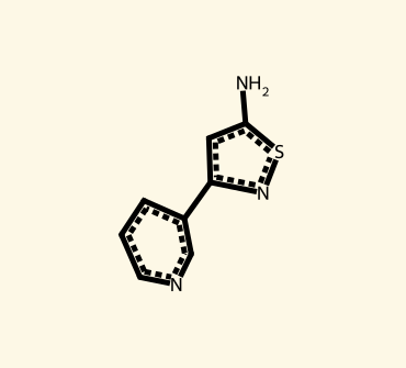 Nc1cc(-c2cccnc2)ns1